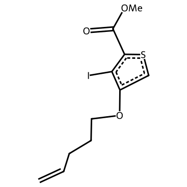 C=CCCCOc1csc(C(=O)OC)c1I